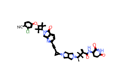 C=C(C(=O)NC1CCC(=O)NC1=O)C(C)(C)[C@@H](C)N1CC2CN(C3CC3C#Cc3ccc4c(n3)CN([C@H]3C(C)(C)[C@H](Oc5ccc(C#N)c(Cl)c5)C3(C)C)C4=O)CC2C1